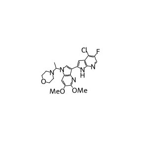 COc1cc2c(nc1OC)c(-c1cc3c(Cl)c(F)cnc3[nH]1)cn2C(C)N1CCOCC1